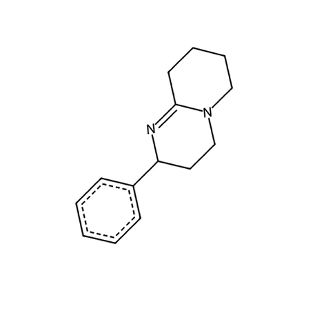 c1ccc(C2CCN3CCCCC3=N2)cc1